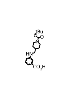 CC(C)(C)OC(=O)N1CCC(CNc2cccc(C(=O)O)c2)CC1